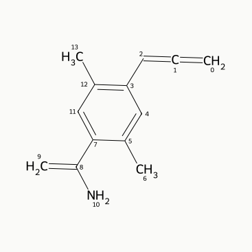 C=C=Cc1cc(C)c(C(=C)N)cc1C